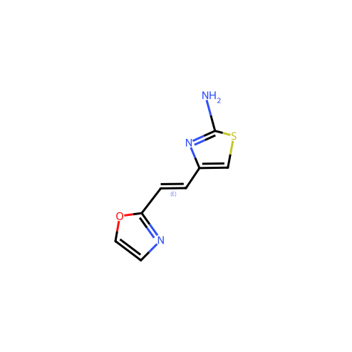 Nc1nc(/C=C/c2ncco2)cs1